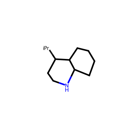 CC(C)C1CCNC2CCCCC21